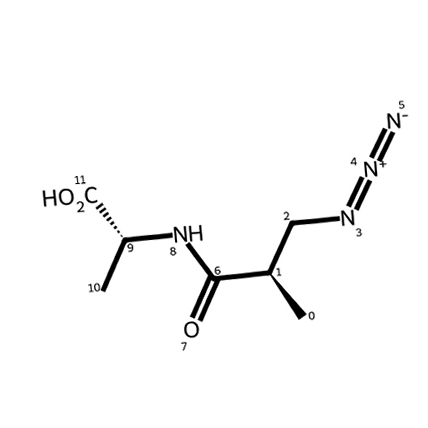 C[C@H](CN=[N+]=[N-])C(=O)N[C@H](C)C(=O)O